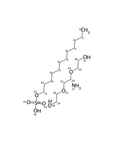 CCCCCCCCCCCCOS(=O)(=O)O.N.OCCOCCOCCO